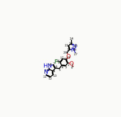 COc1cc(Cc2c[nH]c3ncccc23)c(F)cc1OCc1cc(C)nn1C